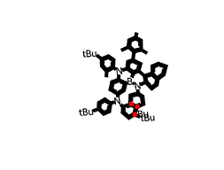 Cc1cc(C)c(-c2cc3c4c(c2)N(c2ccc(C(C)(C)C)cc2C)c2ccc(N(c5ccc(C(C)(C)C)cc5)c5ccc(C(C)(C)C)cc5)cc2B4N(c2ccc(C(C)(C)C)cc2)c2ccc4ccccc4c2-3)c(C)c1